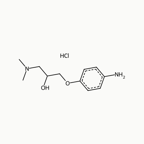 CN(C)CC(O)COc1ccc(N)cc1.Cl